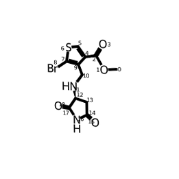 COC(=O)c1csc(Br)c1CN[C@H]1CC(=O)NC1=O